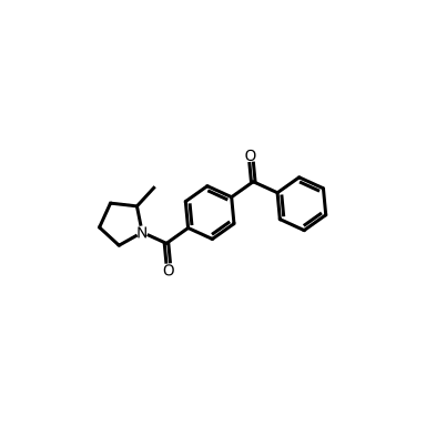 CC1CCCN1C(=O)c1ccc(C(=O)c2ccccc2)cc1